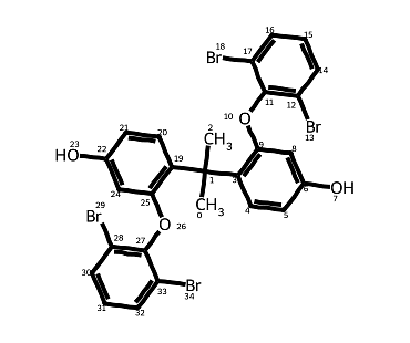 CC(C)(c1ccc(O)cc1Oc1c(Br)cccc1Br)c1ccc(O)cc1Oc1c(Br)cccc1Br